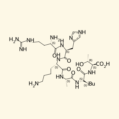 CC[C@H](C)[C@H](NC(=O)[C@H](C)NC(=O)[C@H](CCCCN)NC(=O)[C@H](Cc1c[nH]cn1)NC(=O)[C@@H](N)CCCNC(=N)N)C(=O)N[C@H](C(=O)O)[C@@H](C)O